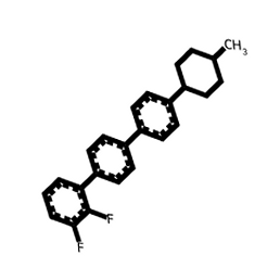 CC1CCC(c2ccc(-c3ccc(-c4cccc(F)c4F)cc3)cc2)CC1